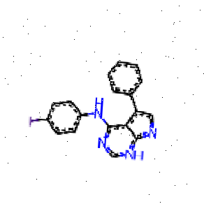 Ic1ccc(Nc2nc[nH]c3ncc(-c4ccccc4)c2-3)cc1